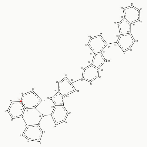 c1ccc(-c2ccccc2N(c2ccccc2)c2cccc3c2oc2ccc(-c4ccc5oc6c(-c7cccc8c7oc7ccccc78)cccc6c5c4)cc23)cc1